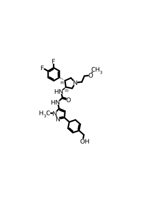 COCCN1C[C@@H](NC(=O)Nc2cc(C3C=CC(CO)=CC3)nn2C)[C@H](c2ccc(F)c(F)c2)C1